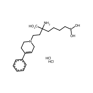 Cl.Cl.NC(CCCCB(O)O)(CCN1CC=C(c2ccccc2)CC1)C(=O)O